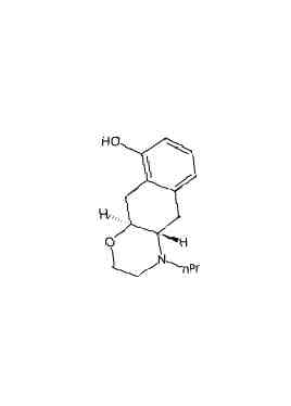 CCCN1CCO[C@H]2Cc3c(O)cccc3C[C@@H]21